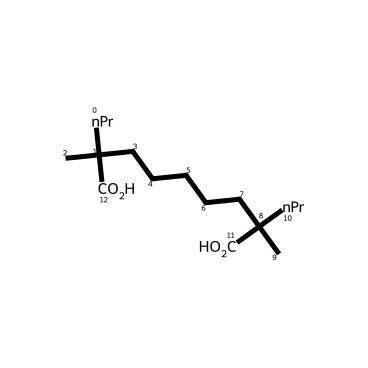 CCCC(C)(CCCCCC(C)(CCC)C(=O)O)C(=O)O